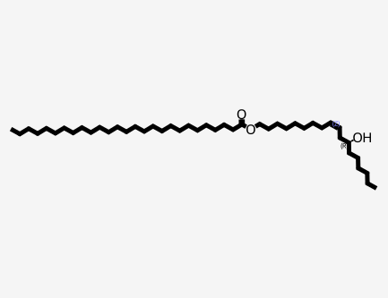 CCCCCCCCCCCCCCCCCCCCCCCCCCC(=O)OCCCCCCCC/C=C\C[C@H](O)CCCCCC